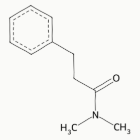 CN(C)C(=O)CCc1ccccc1